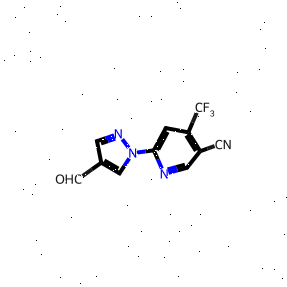 N#Cc1cnc(-n2cc(C=O)cn2)cc1C(F)(F)F